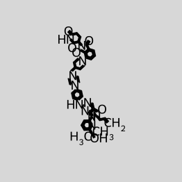 C=CCn1c(=O)c2cnc(Nc3ccc(N4CCN(CC5CCN(c6cccc7c6C(=O)N(C6CCC(=O)NC6=O)C7=O)CC5)CC4)cc3)nc2n1-c1cccc(C(C)(C)O)n1